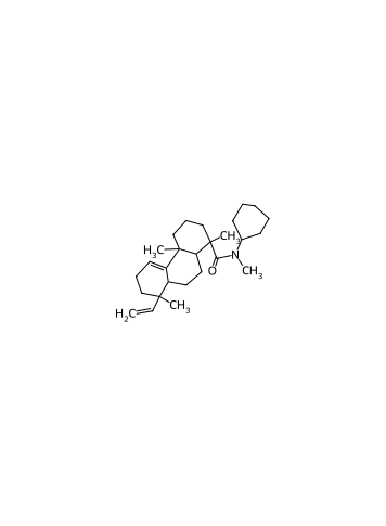 C=CC1(C)CCC=C2C1CCC1C(C)(C(=O)N(C)C3CCCCC3)CCCC21C